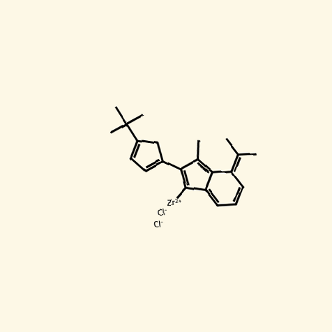 CC(C)=c1cccc2c1=C(C)C(C1=CC=C(C(C)(C)C)C1)=[C]2[Zr+2].[Cl-].[Cl-]